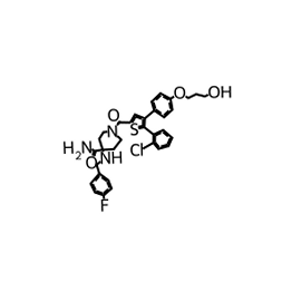 NC(=O)C1(NCc2ccc(F)cc2)CCN(C(=O)c2cc(-c3ccc(OCCCO)cc3)c(-c3ccccc3Cl)s2)CC1